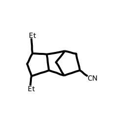 CCC1CC(CC)C2C3CC(CC3C#N)C12